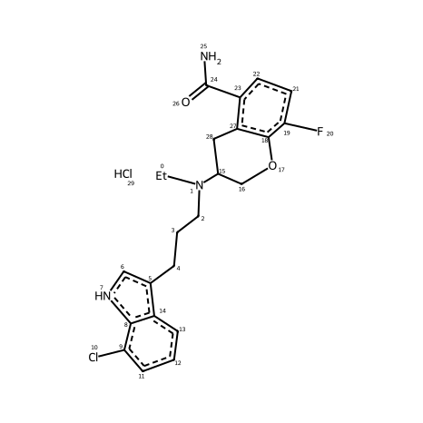 CCN(CCCc1c[nH]c2c(Cl)cccc12)C1COc2c(F)ccc(C(N)=O)c2C1.Cl